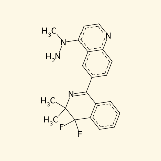 CN(N)c1ccnc2ccc(C3=NC(C)(C)C(F)(F)c4ccccc43)cc12